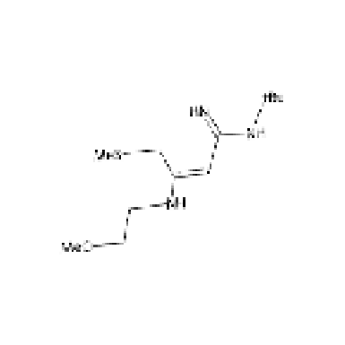 COCCN/C(=C/C(=N)NC(C)(C)C)CSC